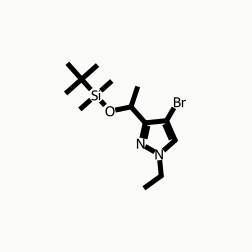 CCn1cc(Br)c(C(C)O[Si](C)(C)C(C)(C)C)n1